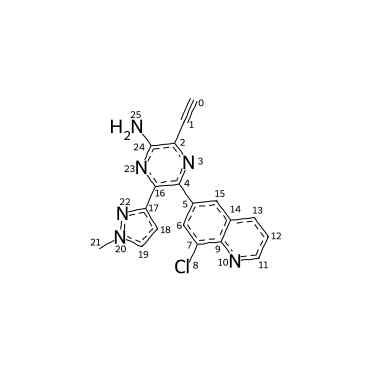 C#Cc1nc(-c2cc(Cl)c3ncccc3c2)c(-c2ccn(C)n2)nc1N